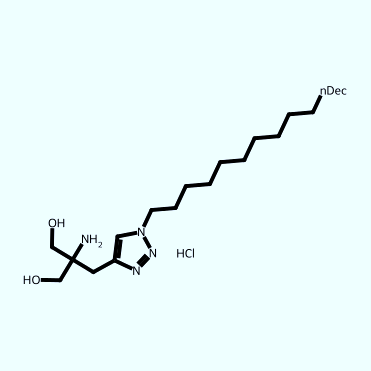 CCCCCCCCCCCCCCCCCCCCn1cc(CC(N)(CO)CO)nn1.Cl